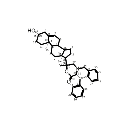 C[C@]12CCC3C(CC=C4C[C@@H](O)CC[C@@]43C)C1CCC2[C@]1(C)CN(Cc2ccccc2)[C@H](Cc2ccccc2)C(=O)O1